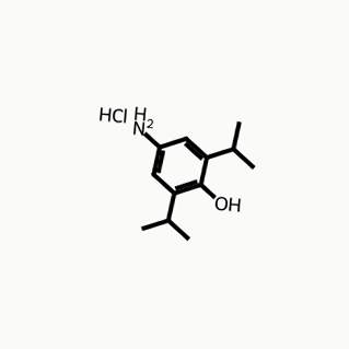 CC(C)c1cc(N)cc(C(C)C)c1O.Cl